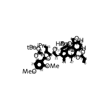 C=CC1O[C@H]2C[C@H]3OC[C@@]3(OC(C)=O)[C@H]3[C@H](C)[C@]4(C(C)(C)O)C[C@H](CC(=O)[C@@H]5OC(c6ccc(OC)cc6OC)N(C(=O)OC(C)(C)C)C5CC(C)C)C(C)=C4[C@H](C)[C@H](O1)[C@]23C